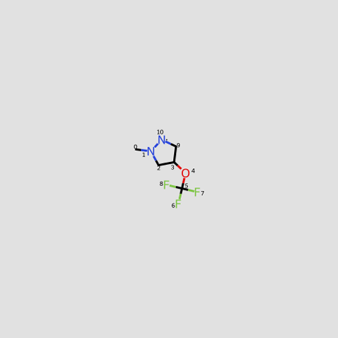 CN1CC(OC(F)(F)F)C[N]1